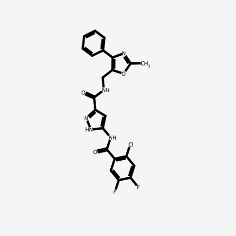 Cc1nc(-c2ccccc2)c(CNC(=O)c2cc(NC(=O)c3cc(F)c(F)cc3Cl)[nH]n2)o1